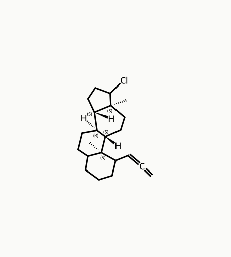 C=C=CC1CCCC2CC[C@@H]3[C@H](CC[C@]4(C)C(Cl)CC[C@@H]34)[C@@]12C